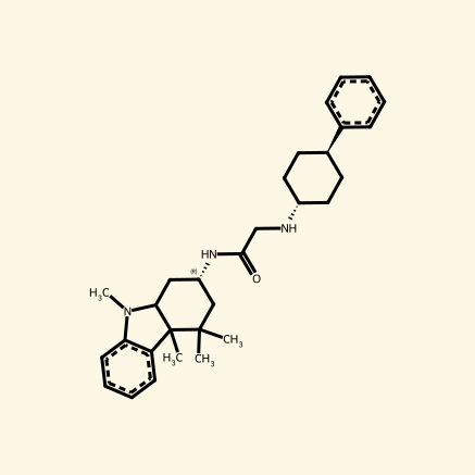 CN1c2ccccc2C2(C)C1C[C@H](NC(=O)CN[C@H]1CC[C@H](c3ccccc3)CC1)CC2(C)C